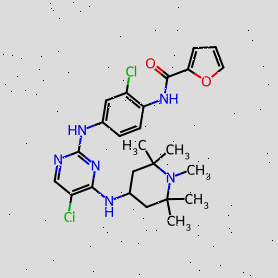 CN1C(C)(C)CC(Nc2nc(Nc3ccc(NC(=O)c4ccco4)c(Cl)c3)ncc2Cl)CC1(C)C